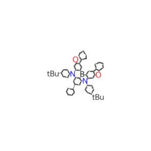 CC(C)(C)c1ccc(N2c3cc4oc5ccccc5c4cc3B3c4cc5c(cc4N(c4ccc(C(C)(C)C)cc4)c4cc(-c6ccccc6)cc2c43)oc2ccccc25)cc1